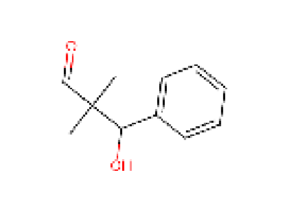 CC(C)(C=O)C(O)c1ccccc1